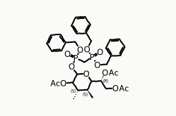 CC(=O)OC[C@@H](OC(C)=O)C1OC(OP(=O)(CP(=O)(OCc2ccccc2)OCc2ccccc2)OCc2ccccc2)C(OC(C)=O)[C@@H](C)[C@@H]1C